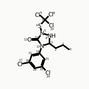 CCCC1NN(SC(Cl)(Cl)Cl)C(=O)N1c1cc(Cl)cc(Cl)c1